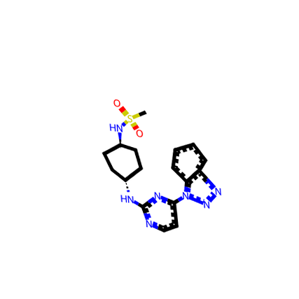 CS(=O)(=O)N[C@H]1CC[C@H](Nc2nccc(-n3nnc4ccccc43)n2)CC1